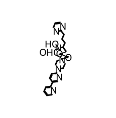 O=CN(O)C(CCCc1ncccn1)CS(=O)(=O)N1CCN(c2ccc(-c3ccccn3)cn2)CC1